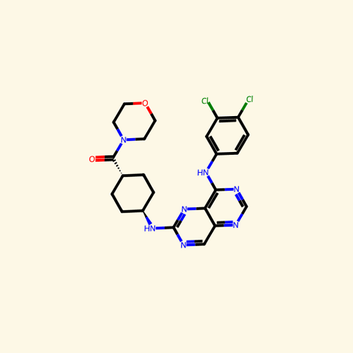 O=C([C@H]1CC[C@H](Nc2ncc3ncnc(Nc4ccc(Cl)c(Cl)c4)c3n2)CC1)N1CCOCC1